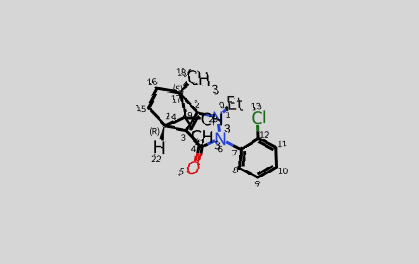 CCn1c2c(c(=O)n1-c1ccccc1Cl)[C@@H]1CC[C@@]2(C)C1(C)C